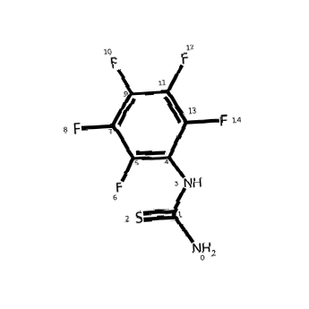 NC(=S)Nc1c(F)c(F)c(F)c(F)c1F